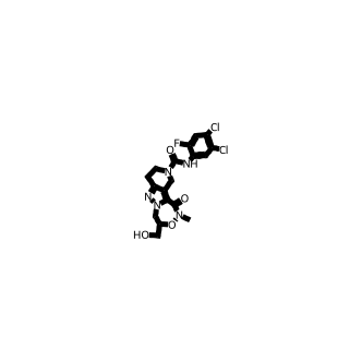 CN1OC(CO)Cn2nc3c(c2C1=O)CN(C(=O)Nc1cc(Cl)c(Cl)cc1F)CC3